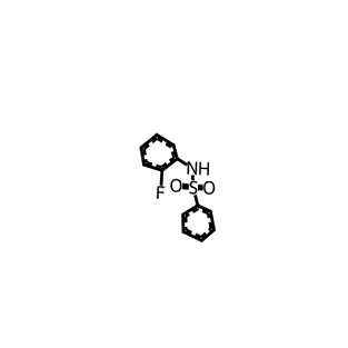 O=S(=O)(Nc1ccccc1F)c1ccccc1